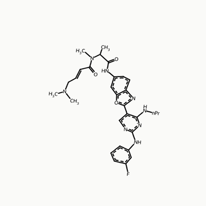 CCCNc1nc(Nc2cccc(F)c2)ncc1-c1nc2ccc(NC(=O)C(C)N(C)C(=O)C=CCN(C)C)cc2o1